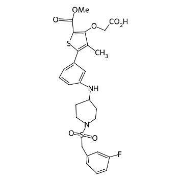 COC(=O)c1sc(-c2cccc(NC3CCN(S(=O)(=O)Cc4cccc(F)c4)CC3)c2)c(C)c1OCC(=O)O